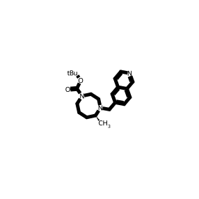 C[C@@H]1CCCN(C(=O)OC(C)(C)C)CCN1Cc1ccc2cnccc2c1